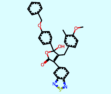 COc1ccc(CC2=C(c3ccc4nsnc4c3)C(=O)OC2(O)c2ccc(OCc3ccccc3)cc2)cc1C